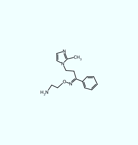 Cc1nccn1CCC(=NOCCN)c1ccccc1